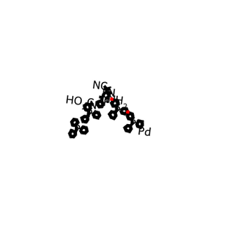 CC1(c2cc(NC(=O)O)ccc2F)Cn2c(C#N)cnc2C(N)=N1.[Pd].c1ccc(P(c2ccccc2)c2ccccc2)cc1.c1ccc(P(c2ccccc2)c2ccccc2)cc1.c1ccc(P(c2ccccc2)c2ccccc2)cc1.c1ccc(P(c2ccccc2)c2ccccc2)cc1